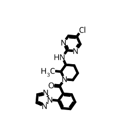 CC1C(Nc2ncc(Cl)cn2)CCCN1C(=O)c1ccccc1-n1nccn1